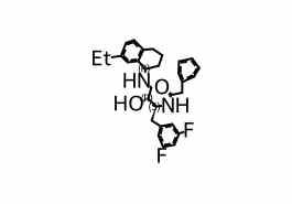 CCc1ccc2c(c1)[C@H](NC[C@@H](O)[C@H](Cc1cc(F)cc(F)c1)NC(=O)Cc1ccccc1)CCC2